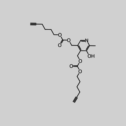 C#CCCCCOC(=O)OCc1cnc(C)c(O)c1COC(=O)OCCCCC#C